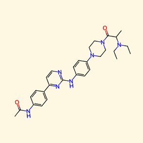 CCN(CC)C(C)C(=O)N1CCN(c2ccc(Nc3nccc(-c4ccc(NC(C)=O)cc4)n3)cc2)CC1